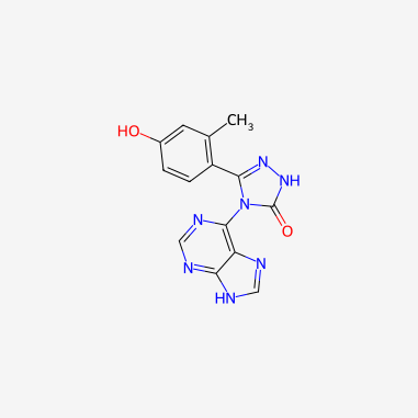 Cc1cc(O)ccc1-c1n[nH]c(=O)n1-c1ncnc2[nH]cnc12